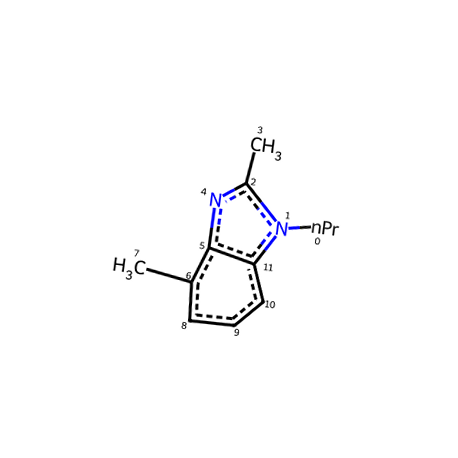 CCCn1c(C)nc2c(C)cccc21